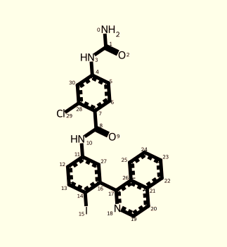 NC(=O)Nc1ccc(C(=O)Nc2ccc(I)c(-c3nccc4ccccc34)c2)c(Cl)c1